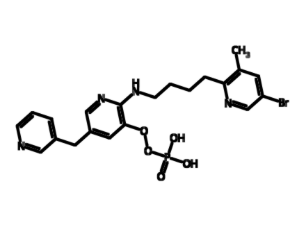 Cc1cc(Br)cnc1CCCCNc1ncc(Cc2cccnc2)cc1OOP(=O)(O)O